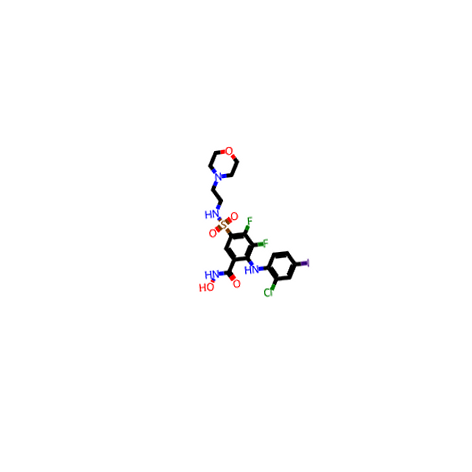 O=C(NO)c1cc(S(=O)(=O)NCCN2CCOCC2)c(F)c(F)c1Nc1ccc(I)cc1Cl